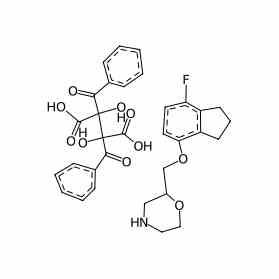 Fc1ccc(OCC2CNCCO2)c2c1CCC2.O=C(O)C(O)(C(=O)c1ccccc1)C(O)(C(=O)O)C(=O)c1ccccc1